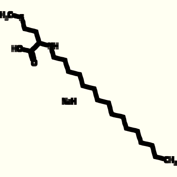 CCCCCCCCCCCCCCCCNC(CCSC)C(=O)O.[NaH]